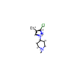 CCc1cn(C2CCN(C)CC2)nc1Cl